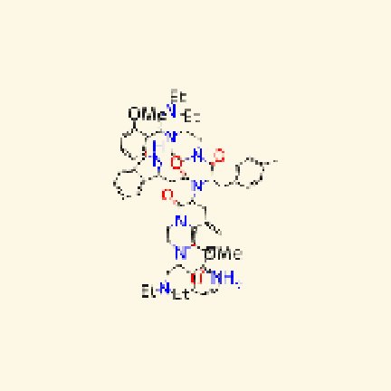 CCN(CC)CC(c1ccccc1OC)N1CCN(C(=O)C(Cc2ccc(C)cc2)N(C(=O)CC2NCc3ccccc32)C(Cc2ccc(C(N)=O)cc2)C(=O)N2CCN(C(CN(CC)CC)c3ccccc3OC)CC2)CC1